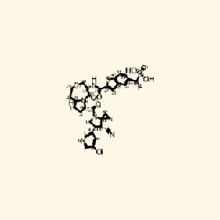 N#C[C@@H]1[C@@H](c2cncc(Cl)c2)CN(C(=O)[C@@H]2CC[C@@H]3CCCC[C@H](NC(=O)c4cc5cc([C@H](F)P(=O)(O)O)ccc5s4)C(=O)N32)C12CC2